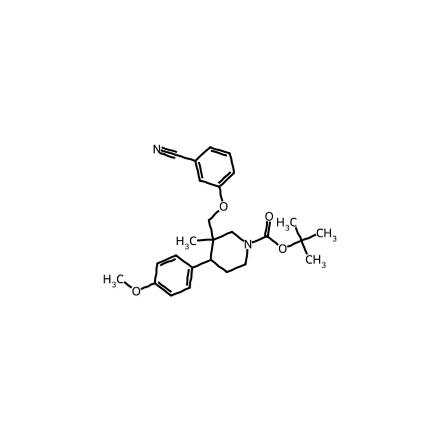 COc1ccc(C2CCN(C(=O)OC(C)(C)C)CC2(C)COc2cccc(C#N)c2)cc1